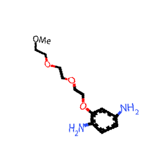 COCCOCCOCCOc1cc(N)ccc1N